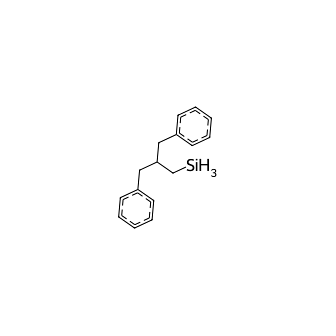 [SiH3]CC(Cc1ccccc1)Cc1ccccc1